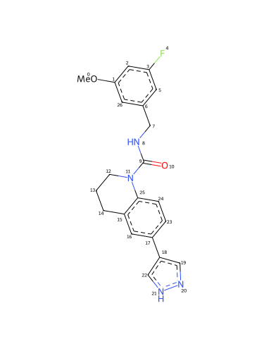 COc1cc(F)cc(CNC(=O)N2CCCc3cc(-c4cn[nH]c4)ccc32)c1